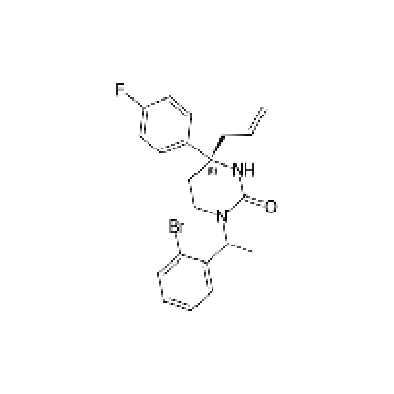 C=CC[C@]1(c2ccc(F)cc2)CCN(C(C)c2ccccc2Br)C(=O)N1